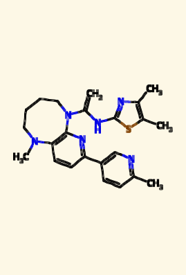 C=C(Nc1nc(C)c(C)s1)N1CCCCN(C)c2ccc(-c3ccc(C)nc3)nc21